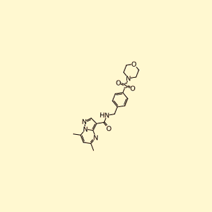 Cc1cc(C)n2ncc(C(=O)NCc3ccc(S(=O)(=O)N4CCOCC4)cc3)c2n1